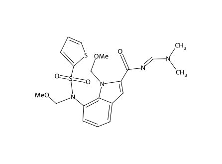 COCN(c1cccc2cc(C(=O)N=CN(C)C)n(COC)c12)S(=O)(=O)c1cccs1